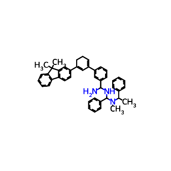 CC(c1ccccc1)N(C)C(NC(N)c1cccc(C2=CCCC(c3ccc4c(c3)C(C)(C)c3ccccc3-4)=C2)c1)c1ccccc1